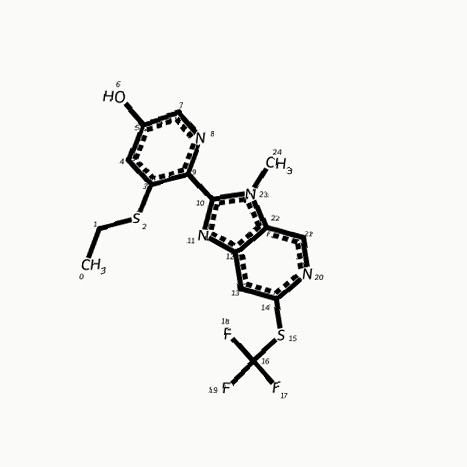 CCSc1cc(O)cnc1-c1nc2cc(SC(F)(F)F)ncc2n1C